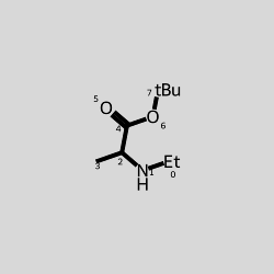 CCNC(C)C(=O)OC(C)(C)C